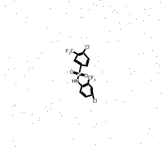 O=S(=O)(Nc1ccc(Cl)cc1C(F)(F)F)c1ccc(Cl)c(C(F)(F)F)c1